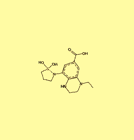 CCN1CCNc2c1cc(C(=O)O)cc2N1CCCS1(O)O